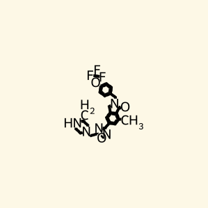 C=C1CN(Cc2nc(-c3cc(C)c4c(c3)CN(Cc3ccc(OC(F)(F)F)cc3)C4=O)no2)CCN1